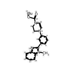 Cn1c(-c2cccc(N3C=CN(C(=O)OC(C)(C)C)CC3)c2)nc2ccccc21